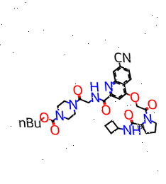 CCCCOC(=O)N1CCN(C(=O)CNC(=O)c2cc(OCC(=O)N3CCC[C@H]3C(=O)NC3CCC3)c3ccc(C#N)cc3n2)CC1